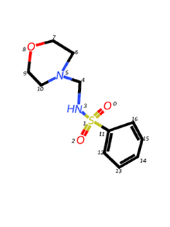 O=S(=O)(NCN1CCOCC1)c1ccccc1